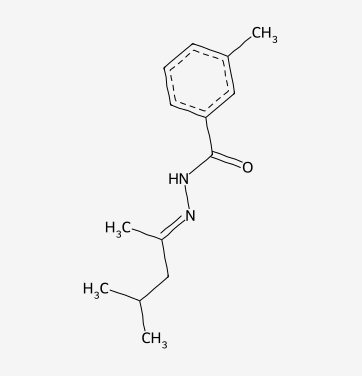 C/C(CC(C)C)=N\NC(=O)c1cccc(C)c1